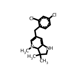 CN1C=C(Cc2ccc(Cl)cc2Cl)C=C2NCC(C)(C)C21